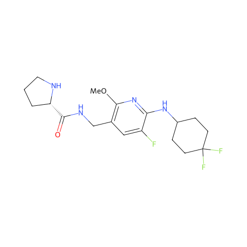 COc1nc(NC2CCC(F)(F)CC2)c(F)cc1CNC(=O)[C@@H]1CCCN1